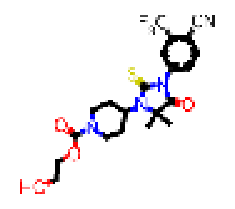 CC1(C)C(=O)N(c2ccc(C#N)c(C(F)(F)F)c2)C(=S)N1C1CCN(C(=O)OCCO)CC1